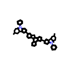 CC1CCC2(C)C(C1)c1cc(-c3ccc4c(c3)Cc3c-4c4ccccc4c4cc(-c5ccc6c(c5)C5CC(C)CCC5(C)N6c5ccccc5)ccc34)ccc1N2c1ccccc1